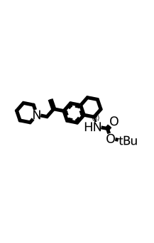 C=C(CN1CCCCC1)c1ccc2c(c1)CCC[C@H]2NC(=O)OC(C)(C)C